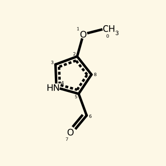 COc1c[nH]c(C=O)c1